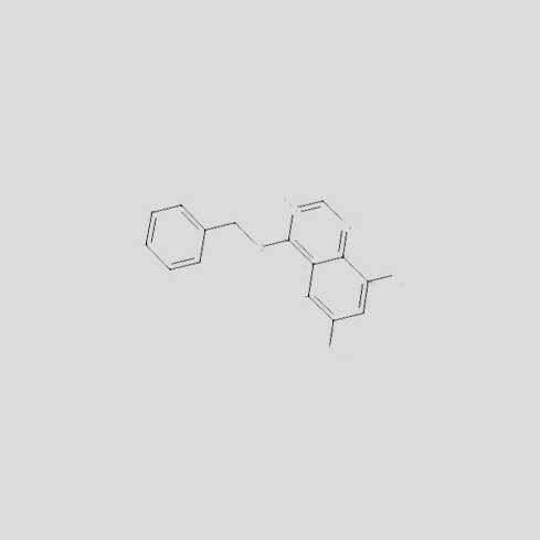 Cc1cc(C)c2ncnc(NCc3ccccc3)c2c1